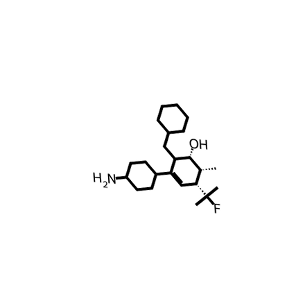 C[C@@H]1[C@H](C(C)(C)F)C=C(C2CCC(N)CC2)C(CC2CCCCC2)[C@@H]1O